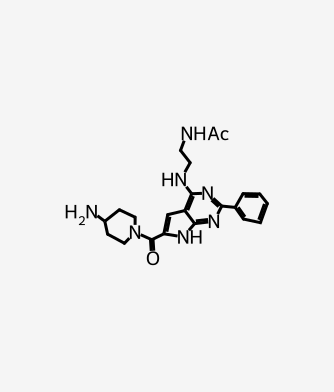 CC(=O)NCCNc1nc(-c2ccccc2)nc2[nH]c(C(=O)N3CCC(N)CC3)cc12